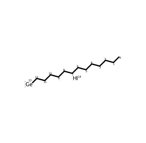 CCCCCCCCCCCC[CH2][Ge].I